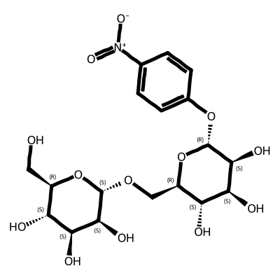 O=[N+]([O-])c1ccc(O[C@H]2O[C@H](CO[C@H]3O[C@H](CO)[C@@H](O)[C@H](O)[C@@H]3O)[C@@H](O)[C@H](O)[C@@H]2O)cc1